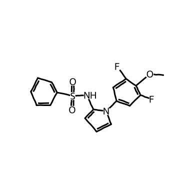 COc1c(F)cc(-n2cccc2NS(=O)(=O)c2ccccc2)cc1F